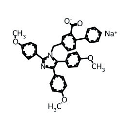 COc1ccc(-c2nc(-c3ccc(OC)cc3)n(Cc3ccc(-c4ccccc4)c(C(=O)[O-])c3)c2-c2ccc(OC)cc2)cc1.[Na+]